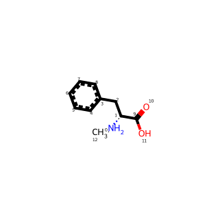 N[C@H](Cc1ccccc1)C(=O)O.[CH3]